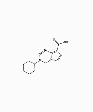 NC(=O)c1ncn2c1N=NN(C1CCCCC1)C2